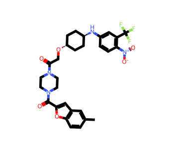 Cc1ccc2oc(C(=O)N3CCN(C(=O)CO[C@H]4CC[C@H](Nc5ccc([N+](=O)[O-])c(C(F)(F)F)c5)CC4)CC3)cc2c1